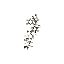 COc1cc2c(cc1Nc1ncc(Cl)c(Nc3ccccc3S(=O)(=O)C(C)C)n1)C(C)(C)CN(C(=O)C(F)(F)F)C2